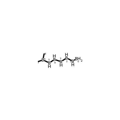 BBBBBBB(C)C